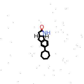 O=C1C[C@@H]2Cc3cc(C4CCCCCC4)ccc3[C@@H]2N1